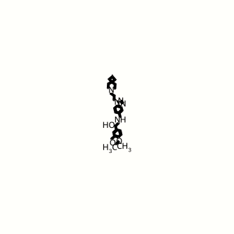 CC1(C)OCc2cc([C@@H](O)CNCc3ccc4c(c3)nnn4CCCN3CCC4(C[CH]C4)CC3)ccc2O1